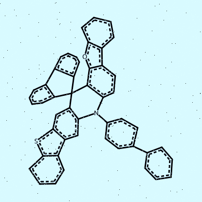 c1ccc(-c2ccc(N3c4cc5c(cc4C4(c6ccccc6-c6ccccc64)c4c3ccc3c4oc4ccccc43)sc3ccccc35)cc2)cc1